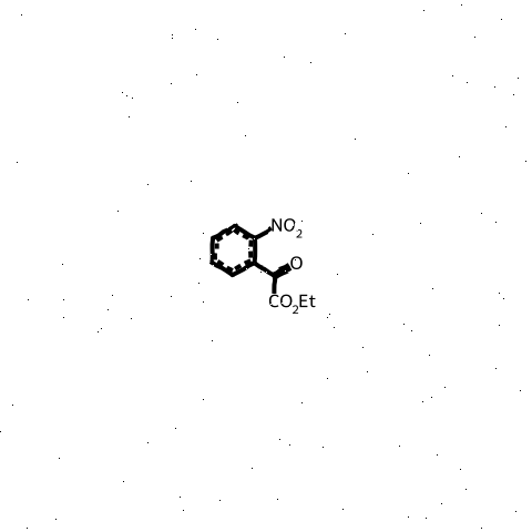 CCOC(=O)C(=O)c1ccccc1[N+](=O)[O-]